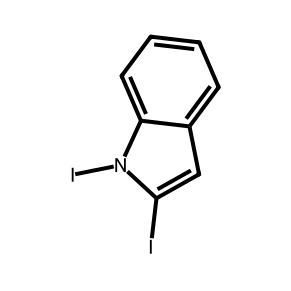 Ic1cc2ccccc2n1I